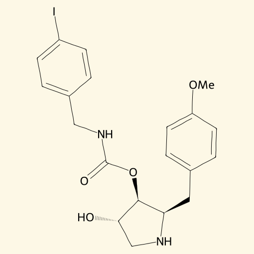 COc1ccc(C[C@H]2NC[C@H](O)[C@H]2OC(=O)NCc2ccc(I)cc2)cc1